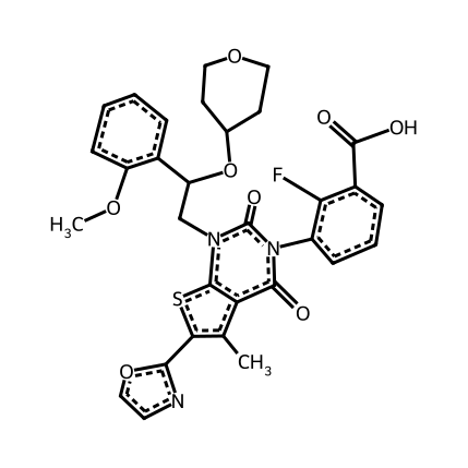 COc1ccccc1C(Cn1c(=O)n(-c2cccc(C(=O)O)c2F)c(=O)c2c(C)c(-c3ncco3)sc21)OC1CCOCC1